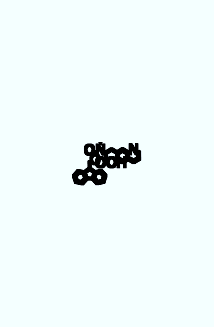 CN(C(=O)OCC1c2ccccc2-c2ccccc21)C(Cc1ccc2cccnc2c1)C(=O)O